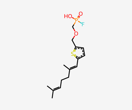 CC(C)=CCC/C(C)=C/c1ccc(COCP(=O)(O)F)s1